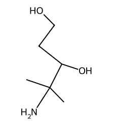 CC(C)(N)C(O)CCO